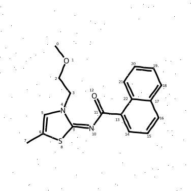 COCCn1cc(C)sc1=NC(=O)c1cccc2ccccc12